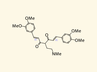 CNCCC(C(=O)/C=C/c1ccc(OC)c(OC)c1)C(=O)/C=C/c1ccc(OC)c(OC)c1